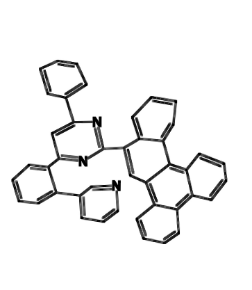 c1ccc(-c2cc(-c3ccccc3-c3cccnc3)nc(-c3cc4c5ccccc5c5ccccc5c4c4ccccc34)n2)cc1